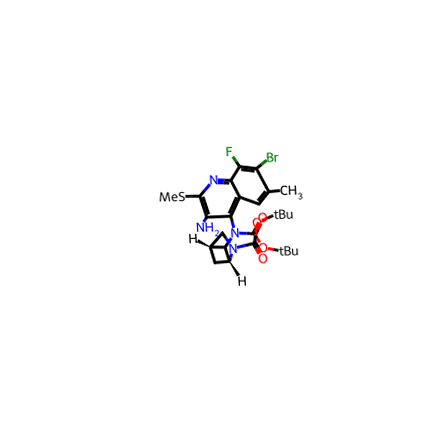 CSc1nc2c(F)c(Br)c(C)cc2c(N(C(=O)OC(C)(C)C)C2[C@@H]3C[C@H]2N(C(=O)OC(C)(C)C)C3)c1N